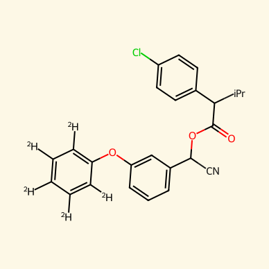 [2H]c1c([2H])c([2H])c(Oc2cccc(C(C#N)OC(=O)C(c3ccc(Cl)cc3)C(C)C)c2)c([2H])c1[2H]